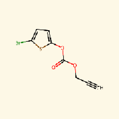 C#CCOC(=O)Oc1ccc(Br)s1